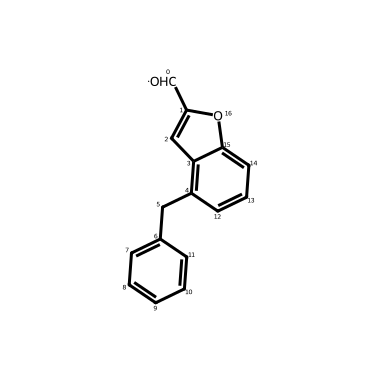 O=[C]c1cc2c(Cc3ccccc3)cccc2o1